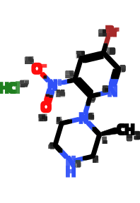 C[C@H]1CNCCN1c1ncc(Br)cc1[N+](=O)[O-].Cl